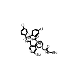 CCOc1cc(C(C)(C)C)ncc1C1=N[C@@](C)(c2ccc(Cl)cc2)[C@@](C)(c2ccc(Cl)cc2)N1C(=O)N1CCN(CC(=O)NC(C)(C)C)CC1